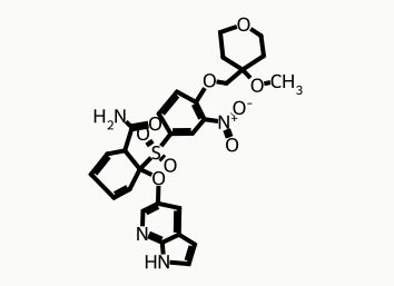 COC1(COc2ccc(S(=O)(=O)C3(Oc4cnc5[nH]ccc5c4)C=CC=CC3C(N)=O)cc2[N+](=O)[O-])CCOCC1